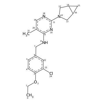 CCOc1ccc(CNc2nc(N3CC4CC4C3)ncc2C)cc1Cl